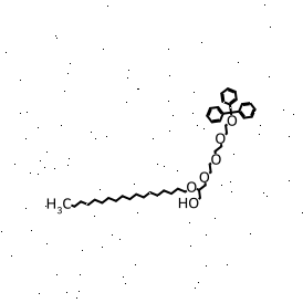 CCCCCCCCCCCCCCCCCCOC(CO)COCCOCCOCCOC(c1ccccc1)(c1ccccc1)c1ccccc1